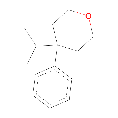 CC(C)C1(c2ccccc2)CCOCC1